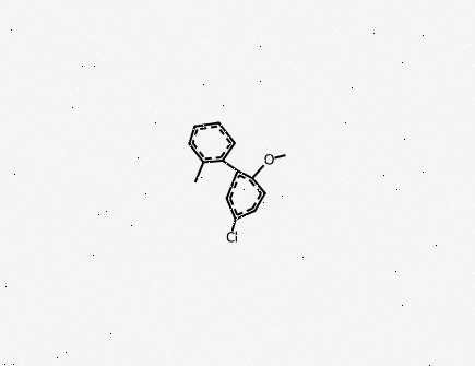 COc1ccc(Cl)cc1-c1ccccc1C